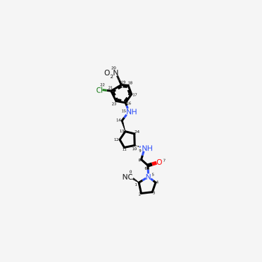 N#C[C@@H]1CCCN1C(=O)CN[C@@H]1CC[C@@H](CNc2ccc([N+](=O)[O-])c(Cl)c2)C1